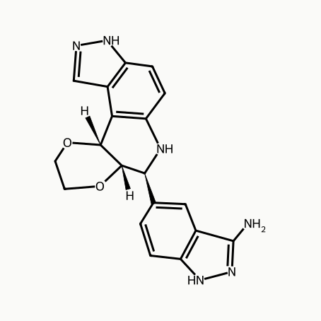 Nc1n[nH]c2ccc([C@@H]3Nc4ccc5[nH]ncc5c4[C@H]4OCCO[C@H]43)cc12